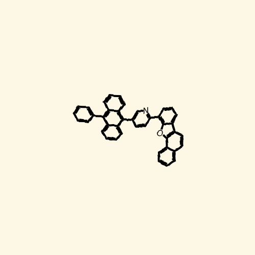 c1ccc(-c2c3ccccc3c(-c3ccc(-c4cccc5c4oc4c6ccccc6ccc54)nc3)c3ccccc23)cc1